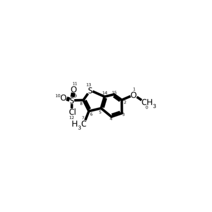 COc1ccc2c(C)c(S(=O)(=O)Cl)sc2c1